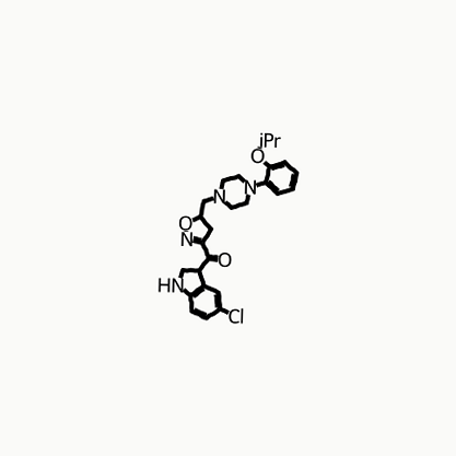 CC(C)Oc1ccccc1N1CCN(CC2CC(C(=O)C3CNc4ccc(Cl)cc43)=NO2)CC1